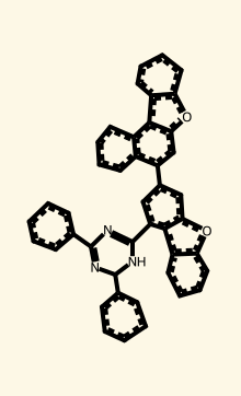 c1ccc(C2=NC(c3ccccc3)NC(c3cc(-c4cc5oc6ccccc6c5c5ccccc45)cc4oc5ccccc5c34)=N2)cc1